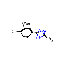 COc1cc(-c2nnc(C)[nH]2)ccc1[N+](=O)[O-]